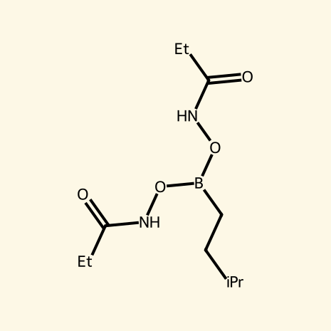 CCC(=O)NOB(CCC(C)C)ONC(=O)CC